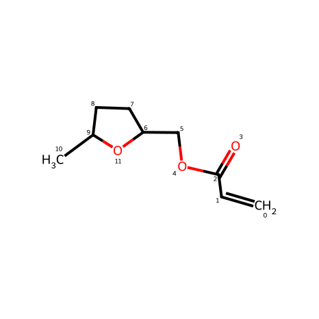 C=CC(=O)OCC1CCC(C)O1